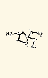 CCO[Si]1(OCC)CC(C)CO1